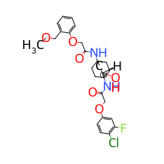 COCc1ccccc1OCC(=O)NC12CCC(NC(=O)COc3ccc(Cl)c(F)c3)(CC1)[C@@H](O)C2